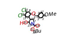 COc1ccc(COc2cc(Cl)c(Cl)cc2C2CCN(C(=O)OC(C)(C)C)CC2O)cc1